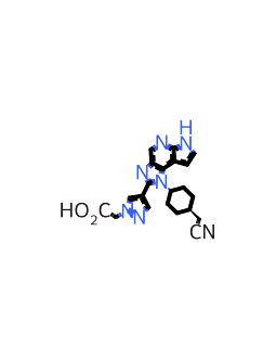 N#CC[C@H]1CC[C@H](n2c(-c3cnn(CC(=O)O)c3)nc3cnc4[nH]ccc4c32)CC1